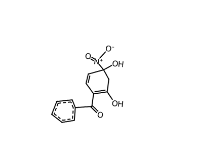 O=C(C1=C(O)CC(O)([N+](=O)[O-])C=C1)c1ccccc1